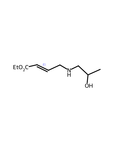 CCOC(=O)/C=C/CNCC(C)O